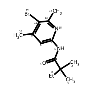 CCC(C)(C)C(=O)Nc1cc(C)c(Br)c(C)n1